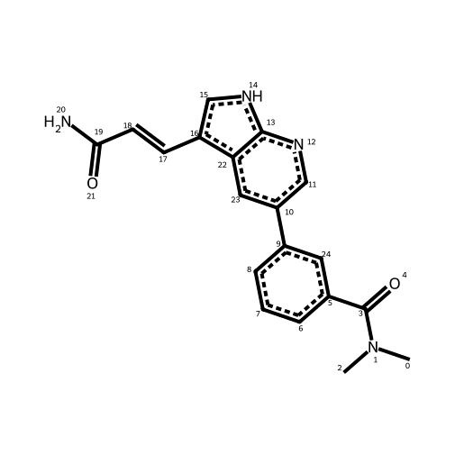 CN(C)C(=O)c1cccc(-c2cnc3[nH]cc(/C=C/C(N)=O)c3c2)c1